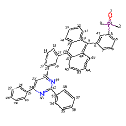 CP(C)(=O)c1cccc(-c2c3ccccc3c(-c3cccc(-c4cc(-c5ccccc5)nc(-c5ccccc5)n4)c3)c3ccccc23)c1